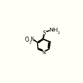 NSc1ccncc1[N+](=O)[O-]